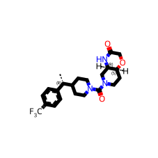 C[C@@H](c1ccc(C(F)(F)F)cc1)C1CCN(C(=O)N2CC[C@@H]3OCC(=O)N[C@@H]3C2)CC1